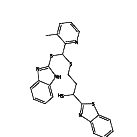 Cc1cccnc1C(SCCC(S)c1nc2ccccc2s1)Sc1nc2ccccc2[nH]1